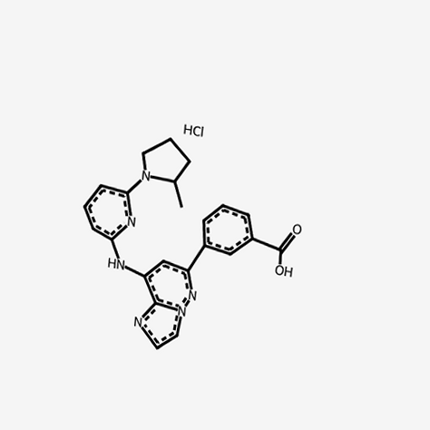 CC1CCCN1c1cccc(Nc2cc(-c3cccc(C(=O)O)c3)nn3ccnc23)n1.Cl